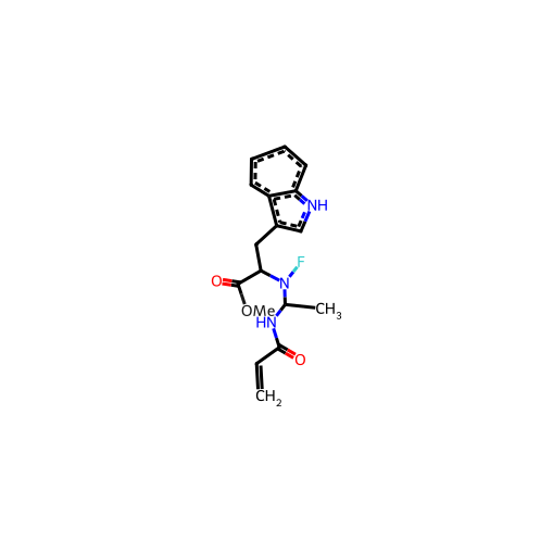 C=CC(=O)NC(C)N(F)C(Cc1c[nH]c2ccccc12)C(=O)OC